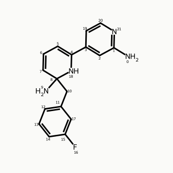 Nc1cc(C2=CC=CC(N)(Cc3cccc(F)c3)N2)ccn1